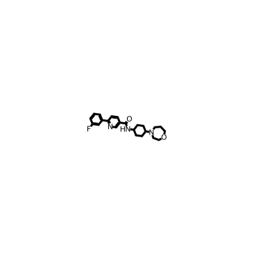 O=C(NC1CCC(N2CCCOCC2)CC1)c1ccc(-c2cccc(F)c2)nc1